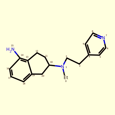 CCN(CCc1ccncc1)C1CCc2c(N)cccc2C1